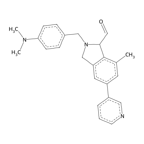 Cc1cc(-c2cccnc2)cc2c1C(C=O)N(Cc1ccc(N(C)C)cc1)C2